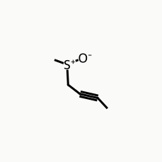 CC#CC[S+](C)[O-]